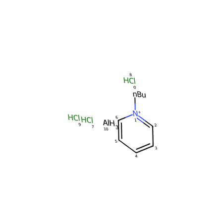 CCCC[n+]1ccccc1.Cl.Cl.Cl.[AlH3]